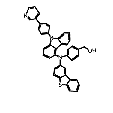 OCc1ccc(N(c2ccc3sc4ccccc4c3c2)c2cccc3c2c2ccccc2n3-c2ccc(-c3cccnc3)cc2)cc1